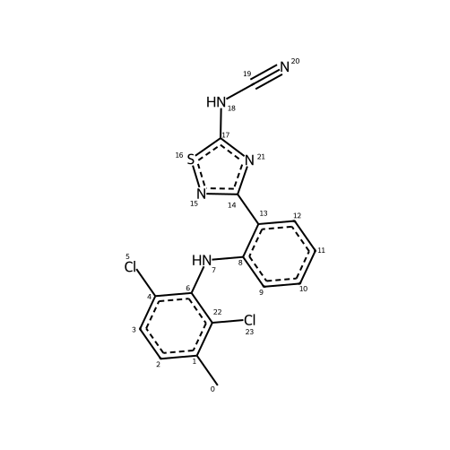 Cc1ccc(Cl)c(Nc2ccccc2-c2nsc(NC#N)n2)c1Cl